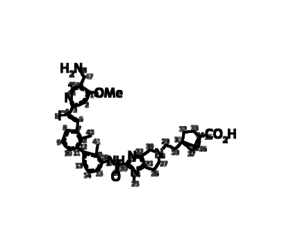 COc1cc(/C(F)=C/c2cccc(-c3cccc(NC(=O)c4nc5c(n4C)CCN(CCC46CCC(C(=O)O)(CC4)C6)C5)c3C)c2C)ncc1CN